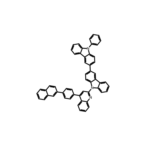 c1ccc(-n2c3ccccc3c3cc(-c4ccc5c(c4)c4ccccc4n5-c4cc(-c5ccc(-c6ccc7ccccc7c6)cc5)c5ccccc5n4)ccc32)cc1